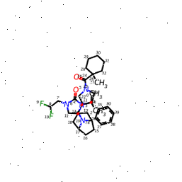 CC(C)N1C(=O)N(CC(F)F)CC12CC1CCC(C2)N1C[C@H]1CN(C(=O)C2(C)CCCCC2)C[C@@H]1c1ccccc1